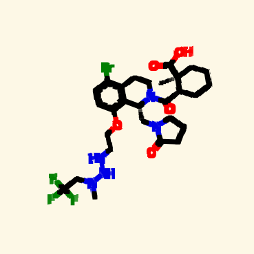 CN(CC(F)(F)F)NNCCOc1ccc(Br)c2c1[C@@H](CN1CCCC1=O)N(C(=O)[C@@H]1CCCC[C@]1(C)C(=O)O)CC2